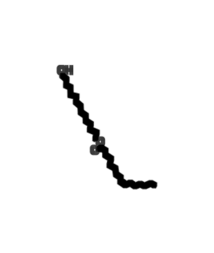 CCCCCC/C=C\CCCCCCCC(=O)OCCCCCCCCCCCCCCCO